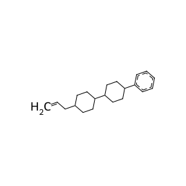 C=CCC1CCC(C2CCC(c3ccccc3)CC2)CC1